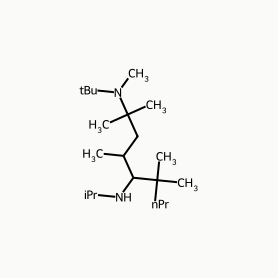 CCCC(C)(C)C(NC(C)C)C(C)CC(C)(C)N(C)C(C)(C)C